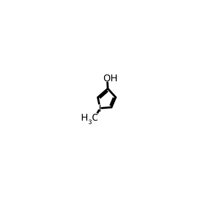 CI1C=CC(O)=C1